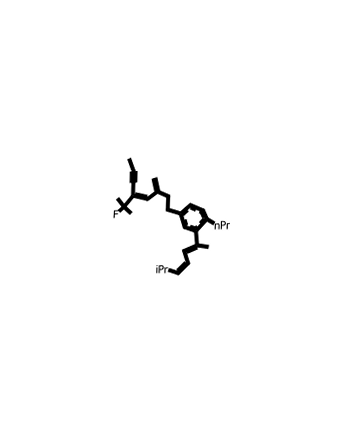 C=C(/C=C(\C#CC)C(C)(C)F)CCc1ccc(CCC)c(/C(C)=C/C=C\C(C)C)c1